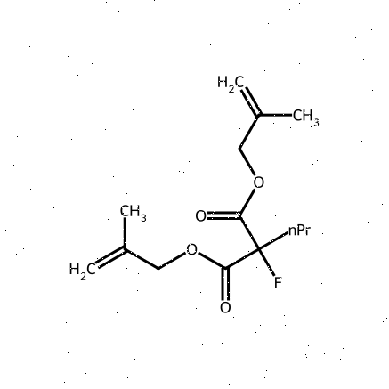 C=C(C)COC(=O)C(F)(CCC)C(=O)OCC(=C)C